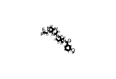 COc1cccc(C(=O)N2CC3(CCN(c4cnc5cnn(CC(F)F)c5n4)C3)C2)c1